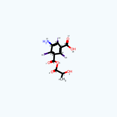 CC(O)C(=O)OC(=O)c1c(I)c(N)c(I)c(C(=O)O)c1I